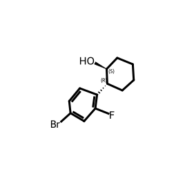 O[C@H]1CCCC[C@@H]1c1ccc(Br)cc1F